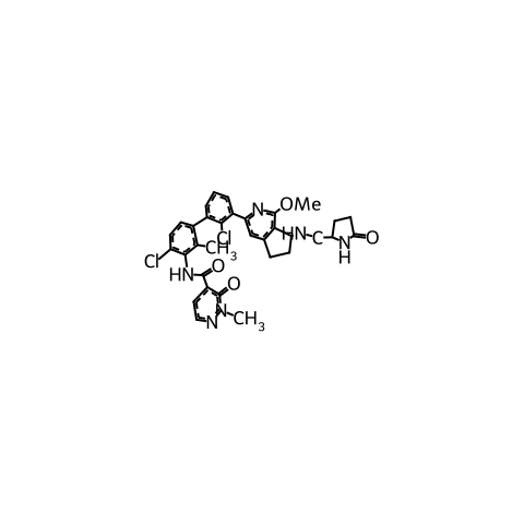 COc1nc(-c2cccc(-c3ccc(Cl)c(NC(=O)c4ccnn(C)c4=O)c3C)c2Cl)cc2c1C(NCC1CCC(=O)N1)CC2